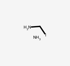 N.NCI